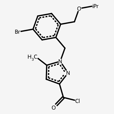 Cc1cc(C(=O)Cl)nn1Cc1cc(Br)ccc1COC(C)C